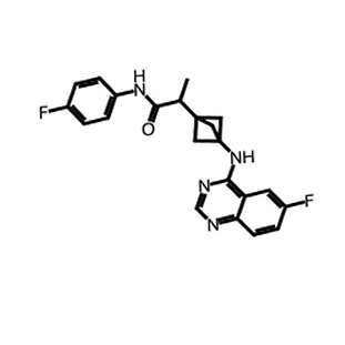 CC(C(=O)Nc1ccc(F)cc1)C12CC(Nc3ncnc4ccc(F)cc34)(C1)C2